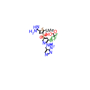 CSc1sc(C(=N)N)cc1S(=O)(=O)c1cnc(NCc2cncnc2N)c(Br)c1.O=C(O)C(F)(F)F